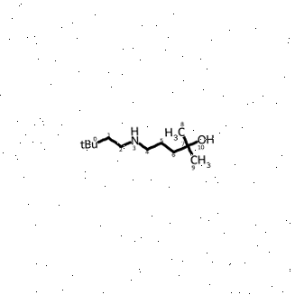 CC(C)(C)CCNCCCC(C)(C)O